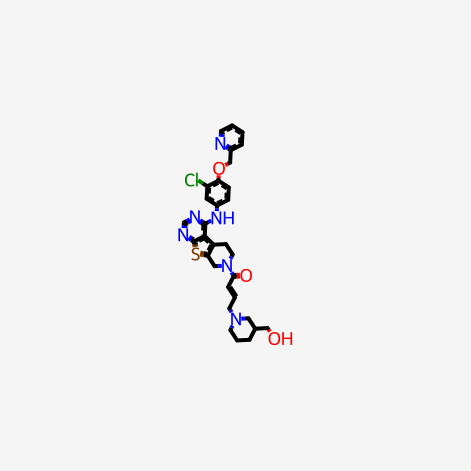 O=C(C=CCN1CCCC(CO)C1)N1CCc2c(sc3ncnc(Nc4ccc(OCc5ccccn5)c(Cl)c4)c23)C1